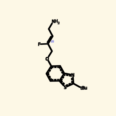 CC(C)(C)c1nc2cc(OC/C(F)=C/CN)ccc2s1